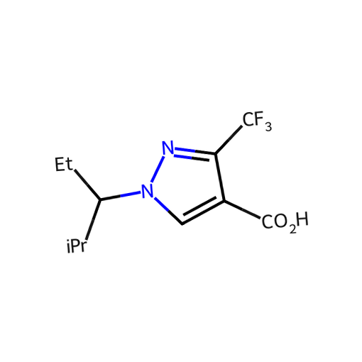 CCC(C(C)C)n1cc(C(=O)O)c(C(F)(F)F)n1